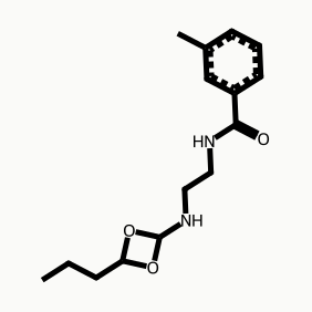 CCCC1OC(NCCNC(=O)c2cccc(C)c2)O1